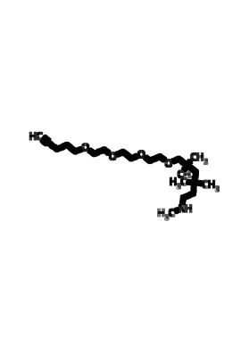 C#CCCCOCCOCCOCCOCC(C)(C)CC(C)(C)CCNC